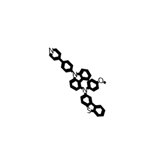 COc1ccc(N(c2ccc3sc4ccccc4c3c2)c2cccc3c2c2ccccc2n3-c2ccc(-c3ccncc3)cc2)cc1